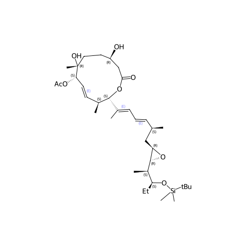 CC[C@H](O[Si](C)(C)C(C)(C)C)[C@@H](C)[C@H]1O[C@@H]1C[C@H](C)/C=C/C=C(\C)[C@H]1OC(=O)C[C@H](O)CC[C@@](C)(O)[C@@H](OC(C)=O)/C=C/[C@@H]1C